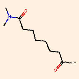 CC(C)C(=O)CCCCCCC(=O)N(C)C